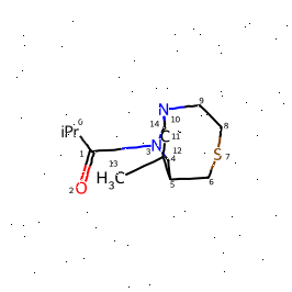 CC(C)C(=O)N1CC2CSCCN(CC2C)C1